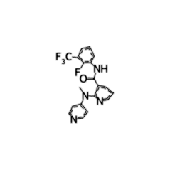 CN(c1ccncc1)c1ncccc1C(=O)Nc1cccc(C(F)(F)F)c1F